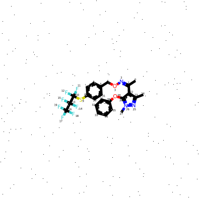 CC(=NOCc1ccc(SC(F)(F)C(F)(F)C(F)(F)F)cc1)c1c(C)nn(C)c1Oc1ccccc1